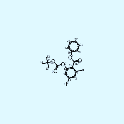 Cc1cc(F)cc(OC(=O)OC(C)(C)C)c1C(=O)Oc1ccccc1